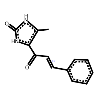 Cc1[nH]c(=O)[nH]c1C(=O)/C=C/c1ccccc1